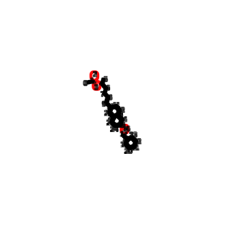 CC(=O)OC(C)CCC=Cc1ccc2cc(OCc3ccccc3)ccc2c1